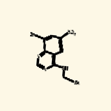 CC(C)(C)CNc1ncnc2c(Br)cc([N+](=O)[O-])cc12